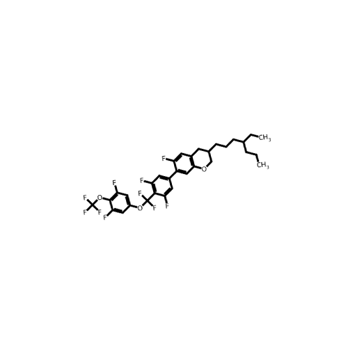 CCCC(CC)CCCC1COc2cc(-c3cc(F)c(C(F)(F)Oc4cc(F)c(OC(F)(F)F)c(F)c4)c(F)c3)c(F)cc2C1